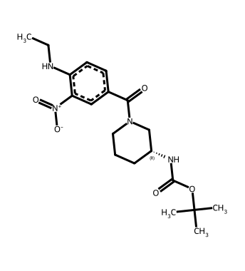 CCNc1ccc(C(=O)N2CCC[C@@H](NC(=O)OC(C)(C)C)C2)cc1[N+](=O)[O-]